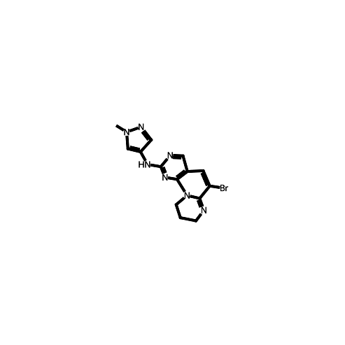 Cn1cc(Nc2ncc3c(n2)N2CCCN=C2C(Br)=C3)cn1